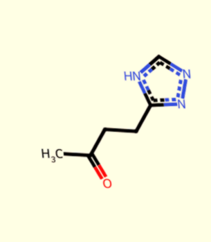 CC(=O)CCc1nnc[nH]1